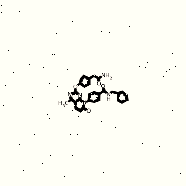 Cc1nc(Oc2ccc(CC(N)=O)cc2)nc2c1ccc(=O)n2-c1ccc(C(=O)NCc2ccccc2)cc1